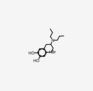 Br.CCCN(CCC)C1CCc2cc(O)c(O)cc2C1